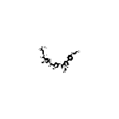 Cn1cc(NC(=O)c2cc(NC(=O)C3=CC(c4ccc(SCCCl)cc4)=C[N+]3(C)NC=O)cn2C)cc1C(=O)NCCC(N)=O